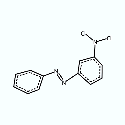 ClN(Cl)c1cccc(N=Nc2ccccc2)c1